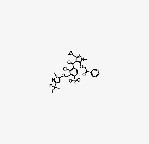 Cn1nc(C(F)(F)F)cc1OCc1c(S(C)(=O)=O)ccc(C(=O)c2c(C3CC3)nn(C)c2OCC(=O)c2ccccc2)c1Cl